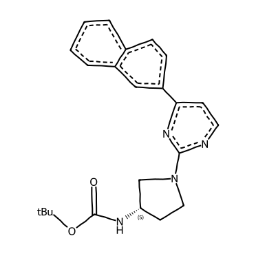 CC(C)(C)OC(=O)N[C@H]1CCN(c2nccc(-c3ccc4ccccc4c3)n2)C1